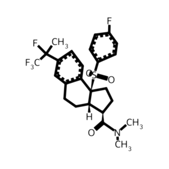 CN(C)C(=O)[C@@H]1CC[C@@]2(S(=O)(=O)c3ccc(F)cc3)c3ccc(C(C)(F)C(F)(F)F)cc3CC[C@@H]12